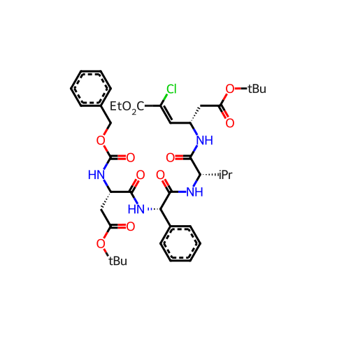 CCOC(=O)/C(Cl)=C/[C@H](CC(=O)OC(C)(C)C)NC(=O)[C@@H](NC(=O)[C@@H](NC(=O)[C@H](CC(=O)OC(C)(C)C)NC(=O)OCc1ccccc1)c1ccccc1)C(C)C